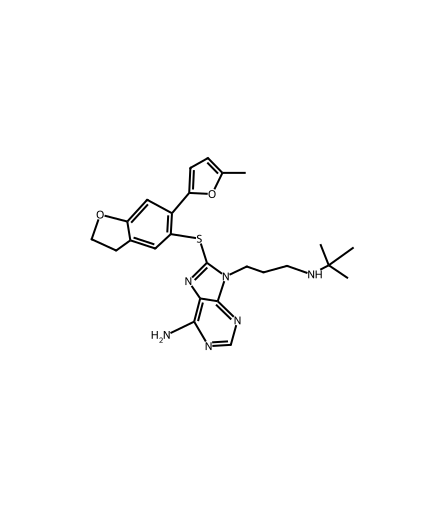 Cc1ccc(-c2cc3c(cc2Sc2nc4c(N)ncnc4n2CCCNC(C)(C)C)CCO3)o1